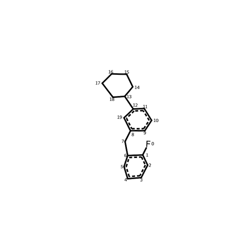 Fc1ccccc1Cc1cccc(C2CCCCC2)c1